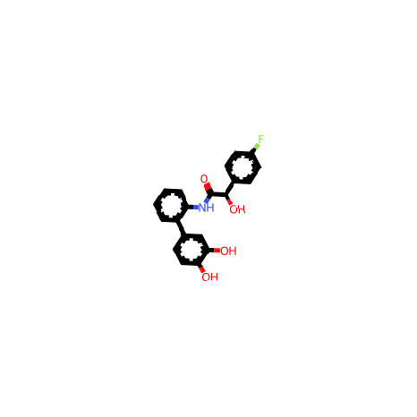 O=C(Nc1ccccc1-c1ccc(O)c(O)c1)C(O)c1ccc(F)cc1